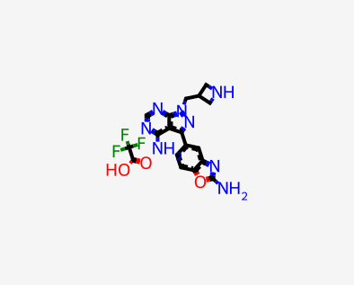 Nc1nc2cc(-c3nn(CC4CNC4)c4ncnc(N)c34)ccc2o1.O=C(O)C(F)(F)F